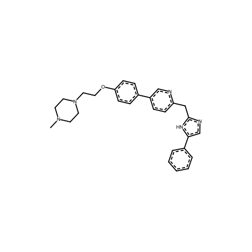 CN1CCN(CCOc2ccc(-c3ccc(Cc4ncc(-c5ccccc5)[nH]4)nc3)cc2)CC1